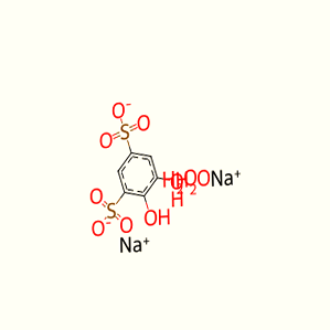 O.O.O=S(=O)([O-])c1cc(O)c(O)c(S(=O)(=O)[O-])c1.[Na+].[Na+]